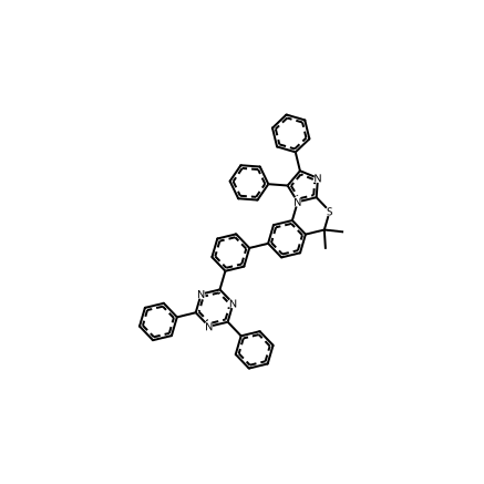 CC1(C)Sc2nc(-c3ccccc3)c(-c3ccccc3)n2-c2cc(-c3cccc(-c4nc(-c5ccccc5)nc(-c5ccccc5)n4)c3)ccc21